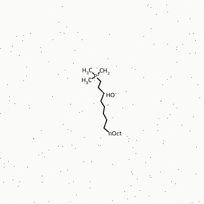 CCCCCCCCCCCCCCCC[P+](C)(C)C.[OH-]